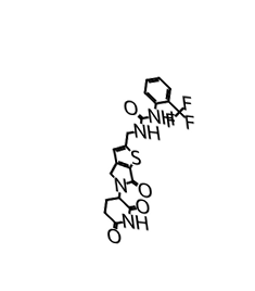 O=C1CCC(N2Cc3cc(CNC(=O)Nc4ccccc4C(F)(F)F)sc3C2=O)C(=O)N1